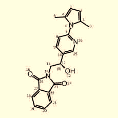 Cc1ccc(C)n1-c1ccc([C@@H](O)CN2C(=O)c3ccccc3C2=O)cn1